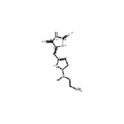 CN(CCN)C1CC=C(/C=C2\SC(=O)NC2=S)S1